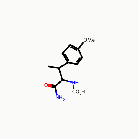 COc1ccc(C(C)C(NC(=O)O)C(N)=O)cc1